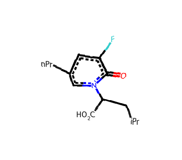 CCCc1cc(F)c(=O)n(C(CC(C)C)C(=O)O)c1